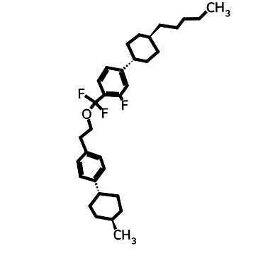 CCCCC[C@H]1CC[C@H](c2ccc(C(F)(F)OCCc3ccc([C@H]4CC[C@H](C)CC4)cc3)c(F)c2)CC1